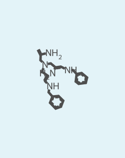 C=C(N)CN(C/C=C/NCc1ccccc1)C/C(N)=C/NCc1ccccc1